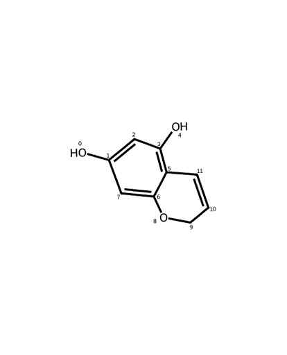 Oc1cc(O)c2c(c1)OCC=C2